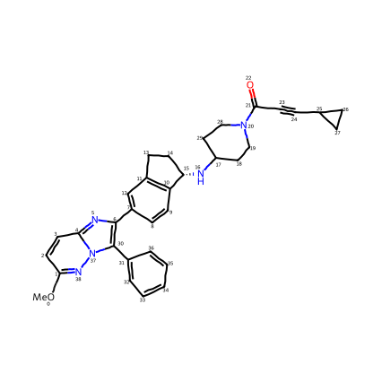 COc1ccc2nc(-c3ccc4c(c3)CC[C@@H]4NC3CCN(C(=O)C#CC4CC4)CC3)c(-c3ccccc3)n2n1